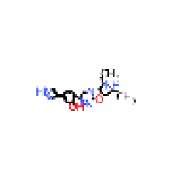 CCC1CC(Oc2ncc(-c3ccc(-c4cn[nH]c4)cc3O)nn2)CC(CC)N1